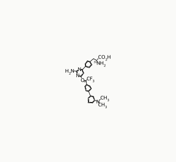 CN(C)c1cccc(-c2ccc([C@@H](Oc3cc(-c4ccc(C[C@H](N)C(=O)O)cc4)nc(N)n3)C(F)(F)F)cc2)c1